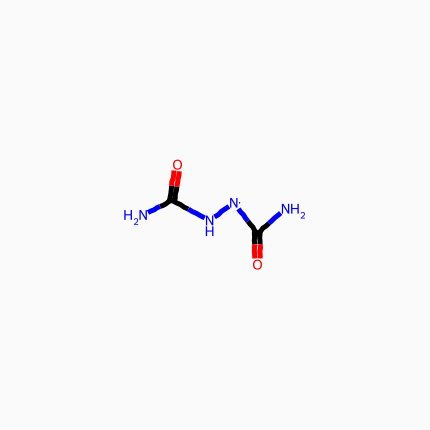 NC(=O)[N]NC(N)=O